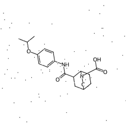 CC(C)Oc1ccc(NC(=O)C2CC3CCC2N(C(=O)O)C3)cc1